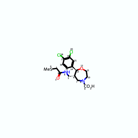 CSCC(=O)NC[C@H]1CN(C(=O)O)CCO[C@@H]1c1ccc(Cl)c(Cl)c1